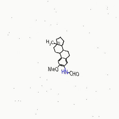 COc1cc2c(cc1NC=O)CCC1C2CC[C@]2(C)CCCC12